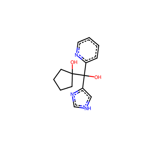 OC1(C(O)(c2ccccn2)c2c[nH]cn2)CCCC1